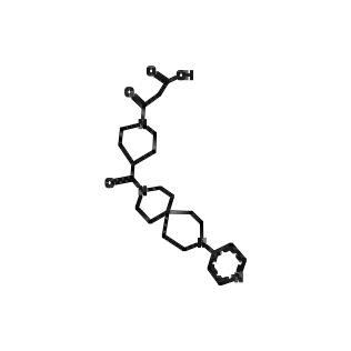 O=C(O)CC(=O)N1CCC(C(=O)N2CCC3(CC2)CCN(c2ccncc2)CC3)CC1